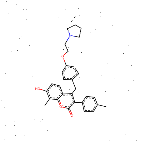 Cc1ccc(-c2c(Cc3ccc(OCCN4CCCC4)cc3)c3ccc(O)c(C)c3oc2=O)cc1